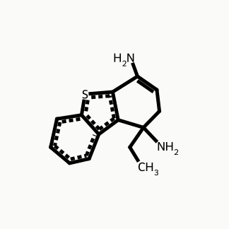 CCC1(N)CC=C(N)c2sc3ccccc3c21